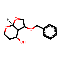 O[C@H]1CCO[C@H]2OCC(OCc3ccccc3)C21